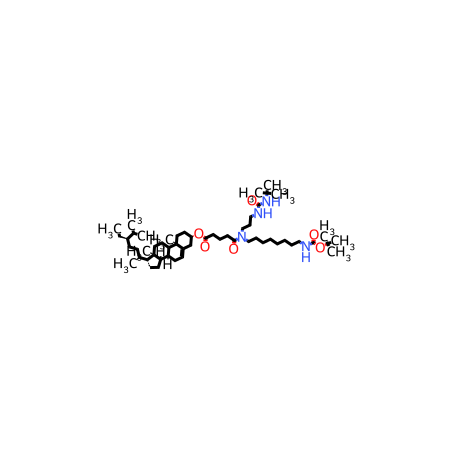 CC[C@H](CC[C@@H](C)[C@H]1CC[C@H]2[C@@H]3CC=C4C[C@@H](OC(=O)CCCC(=O)N(CCCCCCCCNC(=O)OC(C)(C)C)CCCNC(=O)NC(C)(C)C)CC[C@]4(C)C3CC[C@]12C)C(C)C